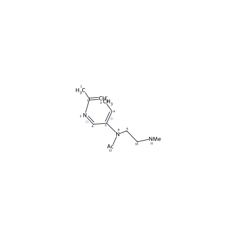 C=C(C)/N=C\C(=C/C)N(CCNC)C(C)=O